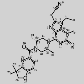 CCn1c(CC#N)nc2c(N3C[C@@H](C)N(C(=O)c4ccc5c(n4)C(C)(C)CO5)C[C@@H]3C)nc(=O)n(C)c21